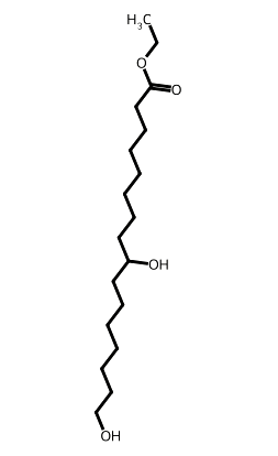 CCOC(=O)CCCCCCCC(O)CCCCCCCO